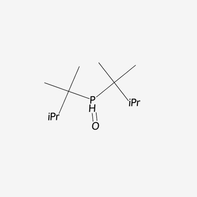 CC(C)C(C)(C)[PH](=O)C(C)(C)C(C)C